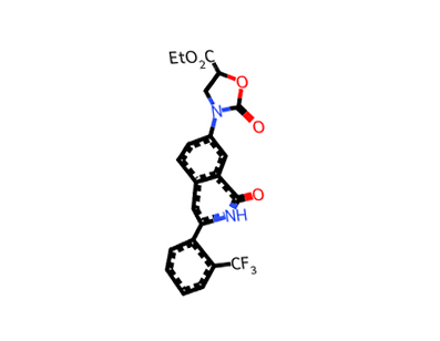 CCOC(=O)C1CN(c2ccc3cc(-c4ccccc4C(F)(F)F)[nH]c(=O)c3c2)C(=O)O1